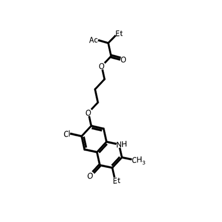 CCc1c(C)[nH]c2cc(OCCCOC(=O)C(CC)C(C)=O)c(Cl)cc2c1=O